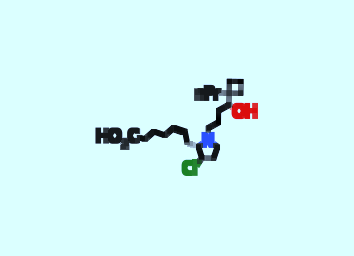 CCCC1([C@H](O)CCCN2CC[C@@H](Cl)[C@@H]2C/C=C\CCCC(=O)O)CCC1